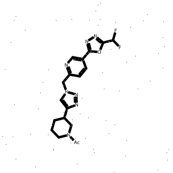 CC(=O)N1CCCC(c2cn(Cc3ccc(-c4nnc(C(F)F)o4)cn3)nn2)C1